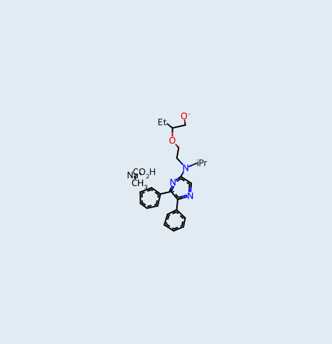 CC(=O)O.CCC(C[O-])OCCN(c1cnc(-c2ccccc2)c(-c2ccccc2)n1)C(C)C.[Na+]